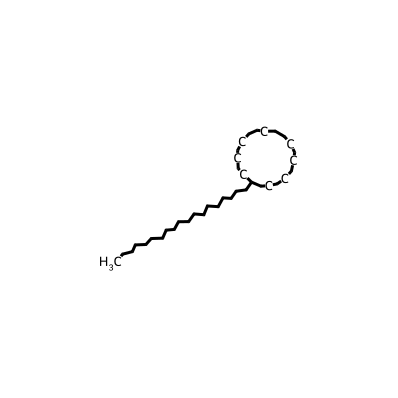 CCCCCCCCCCCCCCCCCCCC1CCCCCCCCCCCCCCCCCC1